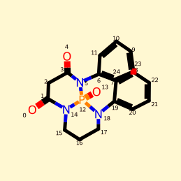 O=C1CC(=O)N(c2ccccc2)P2(=O)N1CCCN2c1ccccc1